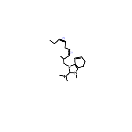 CC/C=C\C/C=C\C(C)CN1C2=C(CCC=C2)N(C)C1N(C)C